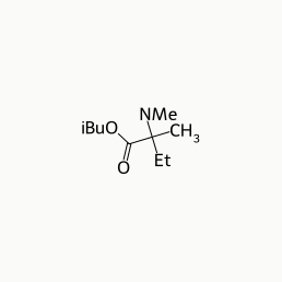 CCC(C)(NC)C(=O)OCC(C)C